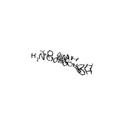 CC(C)[C@H](N)C(=O)OCOC(=O)N1CC[C@H]2[C@@H]1CN[C@@]2(CCCCB(O)O)C(=O)O